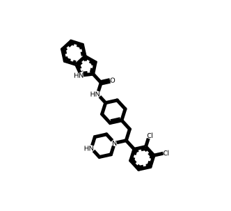 O=C(NC1CC=C(CC(c2cccc(Cl)c2Cl)N2CCNCC2)CC1)c1cc2ccccc2[nH]1